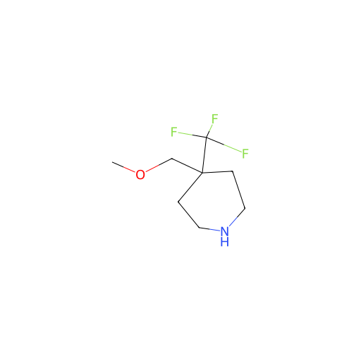 COCC1(C(F)(F)F)CCNCC1